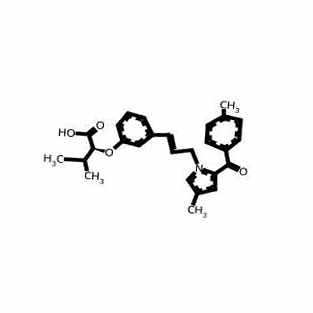 Cc1ccc(C(=O)c2cc(C)cn2C/C=C/c2cccc(O[C@H](C(=O)O)C(C)C)c2)cc1